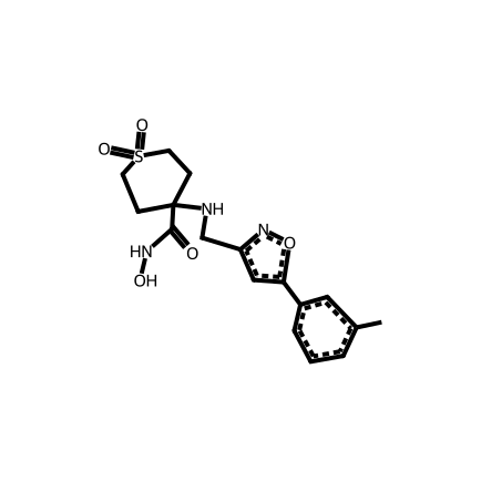 Cc1cccc(-c2cc(CNC3(C(=O)NO)CCS(=O)(=O)CC3)no2)c1